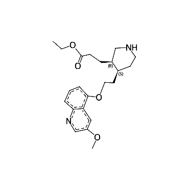 CCOC(=O)CC[C@H]1CNCC[C@H]1CCOc1cccc2ncc(OC)cc12